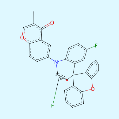 Cc1coc2ccc(N3c4ccc(F)cc4C4(c5ccccc5Oc5ccccc54)c4cc(F)ccc43)cc2c1=O